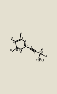 Cc1cc(C#C[Si](C)(C)C(C)(C)C)nc(C)c1C